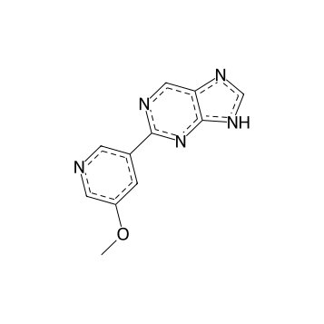 COc1cncc(-c2ncc3nc[nH]c3n2)c1